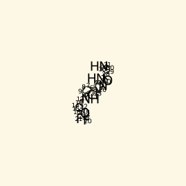 O=C(Nc1cc(-c2cccc(NCc3cccc(OC(F)F)c3)c2)c(Cl)cn1)[C@@H]1CCCNC1